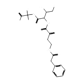 CCC(C)C(NC(=O)C(=O)CCNC(=O)Cc1ccccc1)C(=O)NC(C)(C)C(=O)O